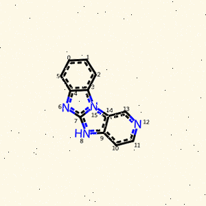 c1ccc2c(c1)nc1[nH]c3ccncc3n12